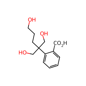 O=C(O)c1ccccc1C(CO)(CO)CCCO